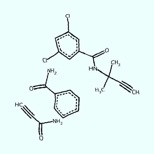 C#CC(C)(C)NC(=O)c1cc(Cl)cc(Cl)c1.C#CC(N)=O.NC(=O)c1ccccc1